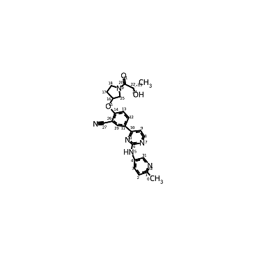 Cc1ccc(Nc2nccc(-c3ccc(OC4CCN(C(=O)[C@H](C)O)C4)c(C#N)c3)n2)cn1